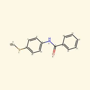 CC(C)(C)Sc1ccc(NC(=O)c2ccccc2)cc1